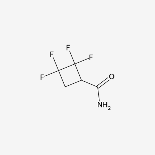 NC(=O)C1CC(F)(F)C1(F)F